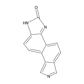 O=C1N=c2c(ccc3c4c(ccc23)C=NC=4)N1